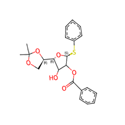 CC1(C)OC[C@H]([C@@H]2O[C@@H](Sc3ccccc3)C(OC(=O)c3ccccc3)C2O)O1